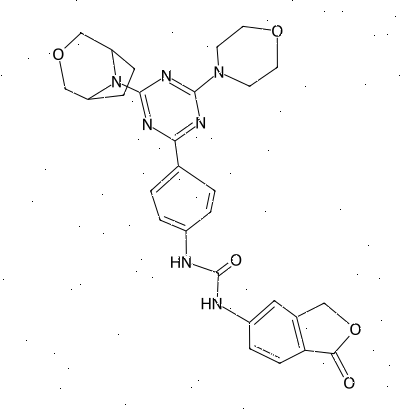 O=C(Nc1ccc(-c2nc(N3CCOCC3)nc(N3C4CCC3COC4)n2)cc1)Nc1ccc2c(c1)COC2=O